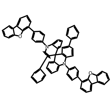 c1ccc(-c2ccc3c(c2)C2(c4ccccc4N3c3ccc(-c4cccc5c4oc4ccccc45)cc3)c3ccccc3N(c3ccc(-c4cccc5c4oc4ccccc45)cc3)c3ccc(-c4ccccc4)cc32)cc1